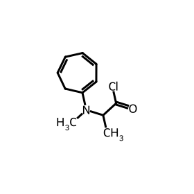 CC(C(=O)Cl)N(C)C1=CC=CC=CC1